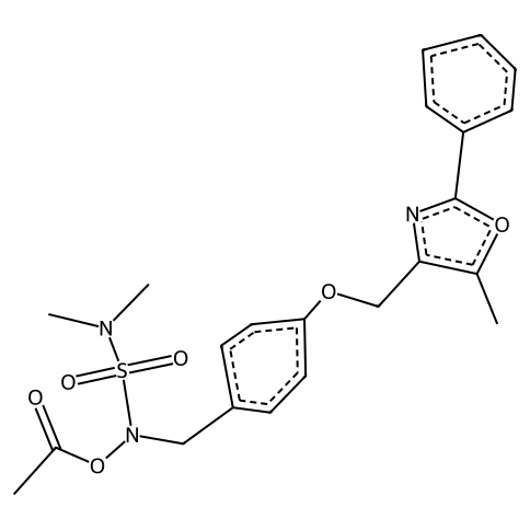 CC(=O)ON(Cc1ccc(OCc2nc(-c3ccccc3)oc2C)cc1)S(=O)(=O)N(C)C